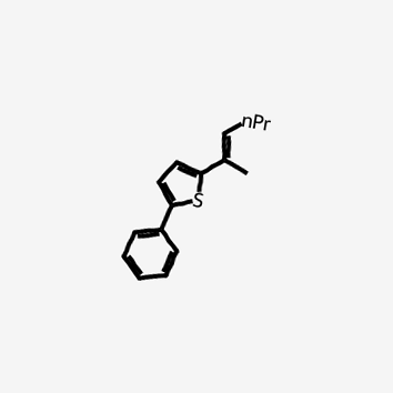 CCC/C=C(\C)c1ccc(-c2ccccc2)s1